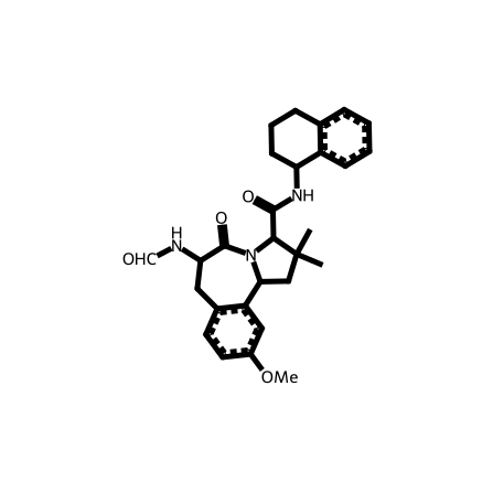 COc1ccc2c(c1)C1CC(C)(C)C(C(=O)NC3CCCc4ccccc43)N1C(=O)C(NC=O)C2